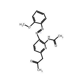 COc1ccccc1/N=N/c1ccc(CC(C)=O)nc1NC(C)=O